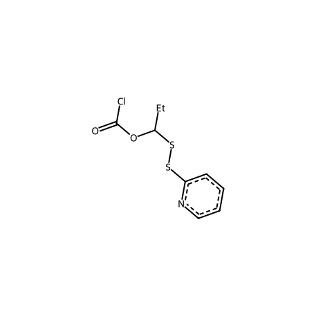 CCC(OC(=O)Cl)SSc1ccccn1